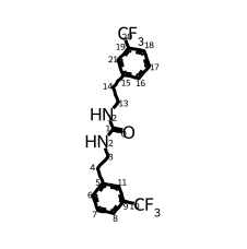 O=C(NCCc1cccc(C(F)(F)F)c1)NCCc1cccc(C(F)(F)F)c1